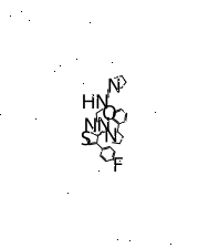 O=C(Cc1nc(N2CCCC2c2ccccc2)c2c(-c3ccc(F)cc3)csc2n1)NCCN1CCCC1